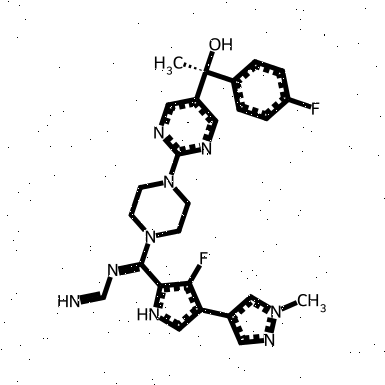 Cn1cc(-c2c[nH]c(/C(=N\C=N)N3CCN(c4ncc([C@@](C)(O)c5ccc(F)cc5)cn4)CC3)c2F)cn1